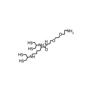 NCCOCCOCCNC(=O)C(CCCCNC(CS)CS)NC(CS)CS